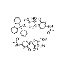 CC(=O)Nc1ccn([C@@H]2O[C@H](CO)[C@@H](O)[C@H]2O)c(=O)n1.CC(=O)Nc1ccn([C@@H]2O[C@H](COC(c3ccccc3)(c3ccccc3)c3ccccc3)[C@@H](O)[C@H]2O)c(=O)n1